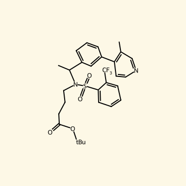 Cc1cnccc1-c1cccc(C(C)N(CCCC(=O)OC(C)(C)C)S(=O)(=O)c2ccccc2C(F)(F)F)c1